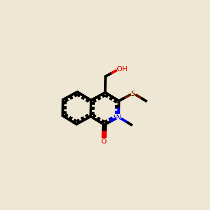 CSc1c(CO)c2ccccc2c(=O)n1C